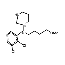 COCCCC[C@H](c1cccc(Cl)c1Cl)[C@H]1CCCNC1